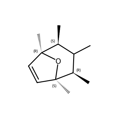 CC1[C@@H](C)[C@@]2(C)C=C[C@](C)(O2)[C@H]1C